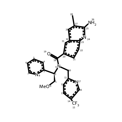 COC[C@@H](c1ccccn1)N(Cc1ccc(C(F)(F)F)cn1)C(=O)c1ccc2nc(N)c(C)cc2c1